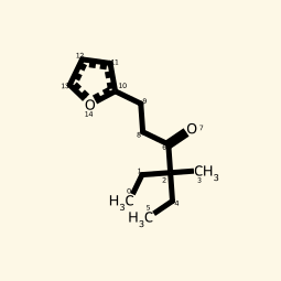 CCC(C)(CC)C(=O)CCc1ccco1